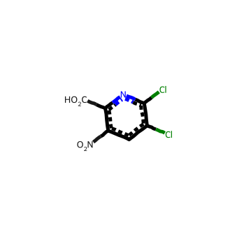 O=C(O)c1nc(Cl)c(Cl)cc1[N+](=O)[O-]